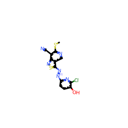 CSc1ncc2c(/N=N/c3ccc(O)c(Cl)n3)snc2c1C#N